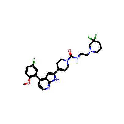 COc1ccc(F)cc1-c1ccnc2[nH]c(C3=CCN(C(=O)NCCN4CCCC(F)(F)C4)CC3)cc12